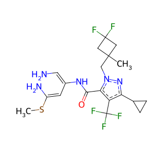 CS/C(N)=C/C(=C\N)NC(=O)c1c(C(F)(F)F)c(C2CC2)nn1CC1(C)CC(F)(F)C1